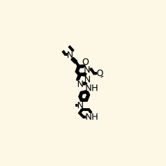 CCN(C#Cc1cc2cnc(Nc3ccc(N(C)C4CCNCC4)cc3)nc2n(CCOC)c1=O)CC